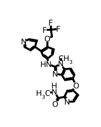 CNC(=O)c1cc(Oc2ccc3c(c2)nc(Nc2ccc(OCC(F)(F)F)c(-c4ccncc4)c2)n3C)ccn1